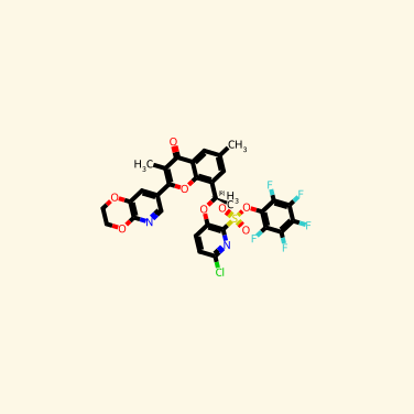 Cc1cc([C@@H](C)Oc2ccc(Cl)nc2S(=O)(=O)Oc2c(F)c(F)c(F)c(F)c2F)c2oc(-c3cnc4c(c3)OCCO4)c(C)c(=O)c2c1